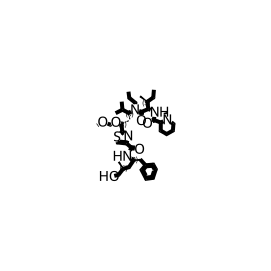 CCCN(C(=O)C(NC(=O)C1CCCCN1C)[C@@H](C)CC)[C@H](C[C@@H](OCOC)c1nc(C(=O)N[C@@H](Cc2ccccc2)C[C@H](C)CO)cs1)C(C)C